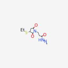 C=NNC(=O)CCN1C(=O)CC(SCC)C1=O